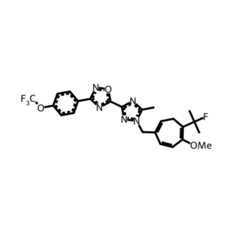 COC1=C(C(C)(C)F)CC=C(Cn2nc(-c3nc(-c4ccc(OC(F)(F)F)cc4)no3)nc2C)C=C1